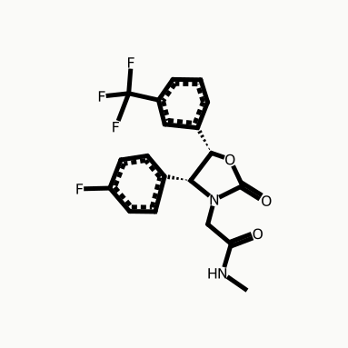 CNC(=O)CN1C(=O)O[C@@H](c2cccc(C(F)(F)F)c2)[C@H]1c1ccc(F)cc1